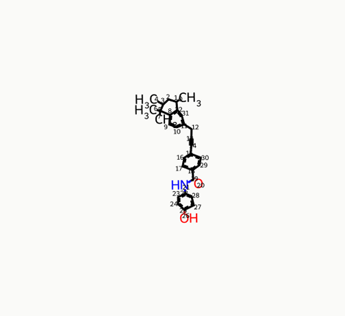 CC1CC(C)C(C)(C)c2ccc(CC#Cc3ccc(C(=O)Nc4ccc(O)cc4)cc3)cc21